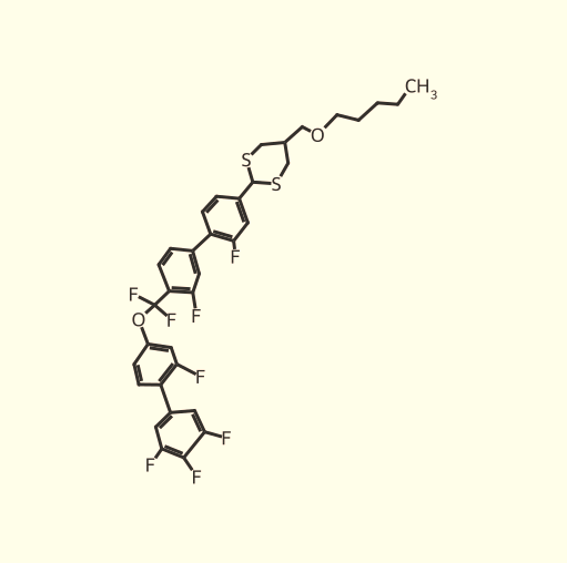 CCCCCOCC1CSC(c2ccc(-c3ccc(C(F)(F)Oc4ccc(-c5cc(F)c(F)c(F)c5)c(F)c4)c(F)c3)c(F)c2)SC1